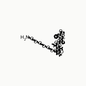 CC[C@H](C)[C@@H]([C@@H](CC(=O)N1CCC[C@H]1[C@H](OC)[C@@H](C)C(=S)N[C@@H](Cc1ccccc1)C(=O)OC)OC)N(C)C(=O)C(NC(=O)[C@H](C(C)C)N(C)C(=O)CCOCCOCCOCCOCCOCCOCCN)C(C)C